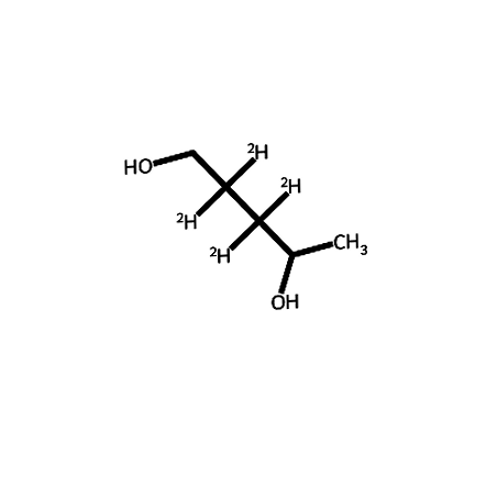 [2H]C([2H])(CO)C([2H])([2H])C(C)O